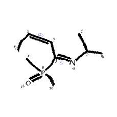 C/C=C\C(=N/C(C)C)P(C)(C)=O